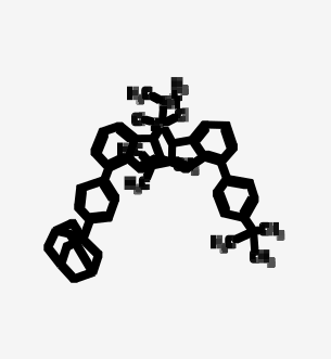 CC1=Cc2c(-c3ccc(C45CC6CC(CC(C6)C4)C5)cc3)cccc2[CH]1[Zr]([Cl])([Cl])([CH]1C(C(C)C)=Cc2c(-c3ccc(C(C)(C)C)cc3)cccc21)[SiH](C)C